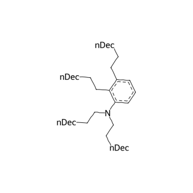 CCCCCCCCCCCCc1cccc(N(CCCCCCCCCCCC)CCCCCCCCCCCC)c1CCCCCCCCCCCC